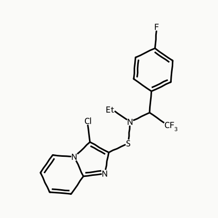 CCN(Sc1nc2ccccn2c1Cl)C(c1ccc(F)cc1)C(F)(F)F